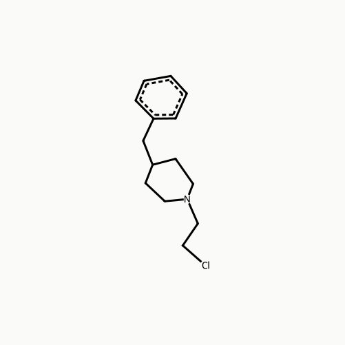 ClCCN1CCC(Cc2ccccc2)CC1